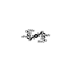 CCCN(Cc1ncc(-c2nc3cc4sc(-c5cnc(CN(CCC)C(=O)CNC(=O)OC)[nH]5)nc4cc3s2)[nH]1)C(=O)CNC(=O)OC